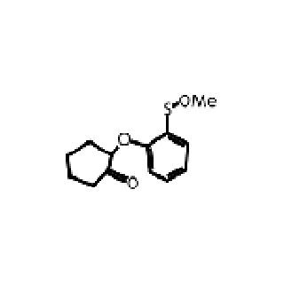 COSc1ccccc1OC1CCCCC1=O